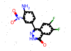 Nc1ccc(-c2n[nH]c(=O)c3cc(F)c(F)cc23)cc1[N+](=O)[O-]